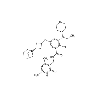 CCN(c1cc(O[C@H]2C[C@H](N3CC4CC(C3)O4)C2)cc(C(=O)NCc2c(C)cc(C)[nH]c2=O)c1Cl)C1CCOCC1